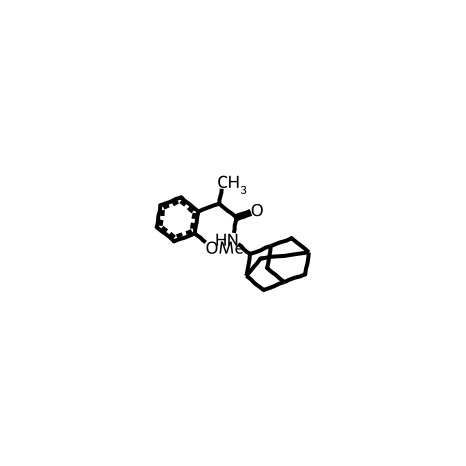 COc1ccccc1C(C)C(=O)NC1C2CC3CC(C2)CC1C3